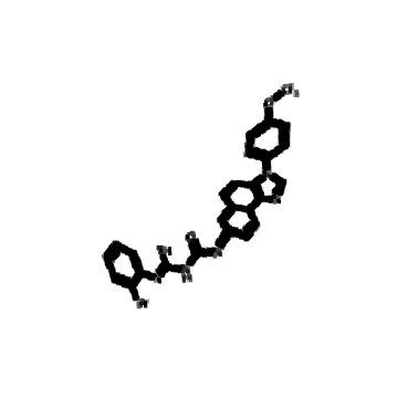 CC(C)c1ccccc1N=C(S)NC(=O)N=C1C=CC2C(=C1)C=Cc1c2ncn1-c1ccc(OC(F)(F)F)cc1